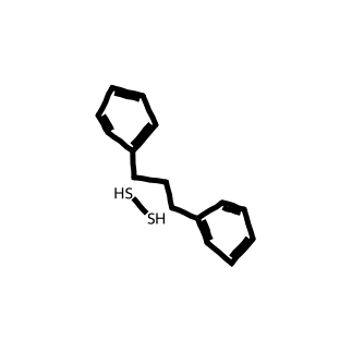 SS.c1ccc(CCCc2ccccc2)cc1